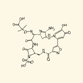 CC(C)(O/N=C(\C(=O)N[C@@H]1C(=O)N(S(=O)(=O)O)[C@@H]1CNC(=O)c1cc(-c2cc(=O)c(O)cn2O)on1)C1CSC(N)=N1)C(=O)O